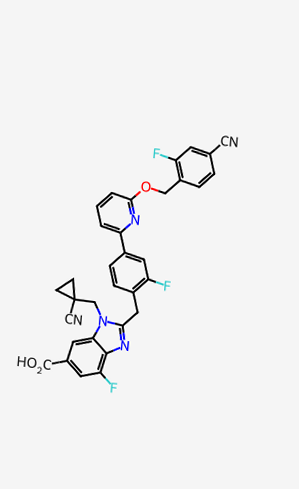 N#Cc1ccc(COc2cccc(-c3ccc(Cc4nc5c(F)cc(C(=O)O)cc5n4CC4(C#N)CC4)c(F)c3)n2)c(F)c1